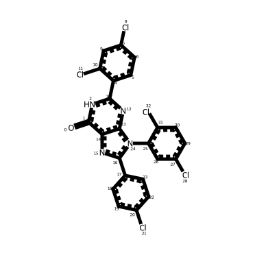 O=c1[nH]c(-c2ccc(Cl)cc2Cl)nc2c1nc(-c1ccc(Cl)cc1)n2-c1cc(Cl)ccc1Cl